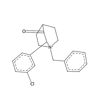 O=C1C2CC[N+](Cc3ccccc3)(CC2)C1c1cccc(Cl)c1